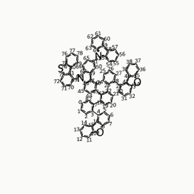 c1ccc(-c2cccc3oc4ccccc4c23)c(-c2cccc(-c3ccccc3-c3cccc4oc5ccccc5c34)c2-c2ccc3c(c2)c2cc(-n4c5ccccc5c5ccccc54)ccc2n3-c2cccc3sc4ccccc4c23)c1